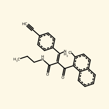 C#Cc1ccc(/C(N)=C(\C(=O)NCCC)C(=O)c2c(Cl)ccc3ccccc23)cc1